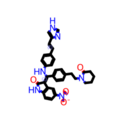 O=C1Nc2ccc([N+](=O)[O-])cc2/C1=C(/Nc1ccc(/C=C/c2c[nH]cn2)cc1)c1ccc(CCN2CCCCC2=O)cc1